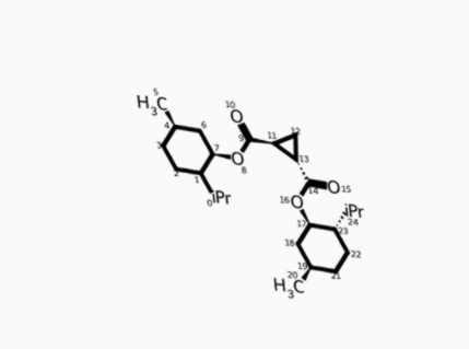 CC(C)C1CC[C@@H](C)C[C@H]1OC(=O)[C@H]1C[C@@H]1C(=O)O[C@@H]1C[C@H](C)CC[C@H]1C(C)C